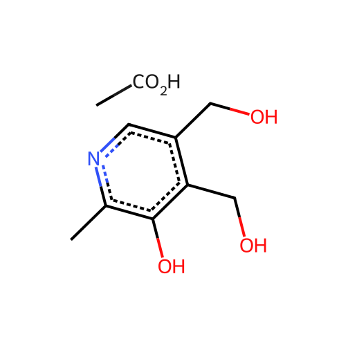 CC(=O)O.Cc1ncc(CO)c(CO)c1O